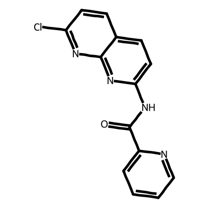 O=C(Nc1ccc2ccc(Cl)nc2n1)c1ccccn1